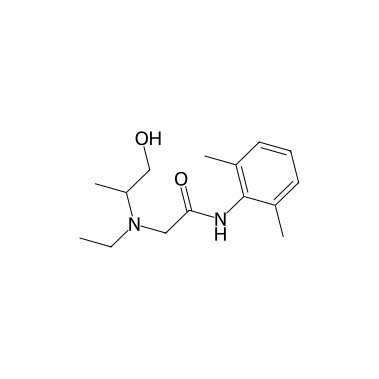 CCN(CC(=O)Nc1c(C)cccc1C)C(C)CO